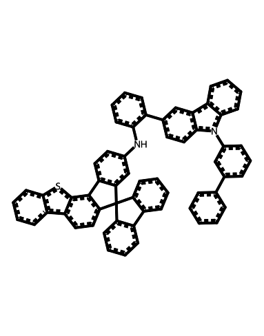 c1ccc(-c2cccc(-n3c4ccccc4c4cc(-c5ccccc5Nc5ccc6c(c5)C5(c7ccccc7-c7ccccc75)c5ccc7c(sc8ccccc87)c5-6)ccc43)c2)cc1